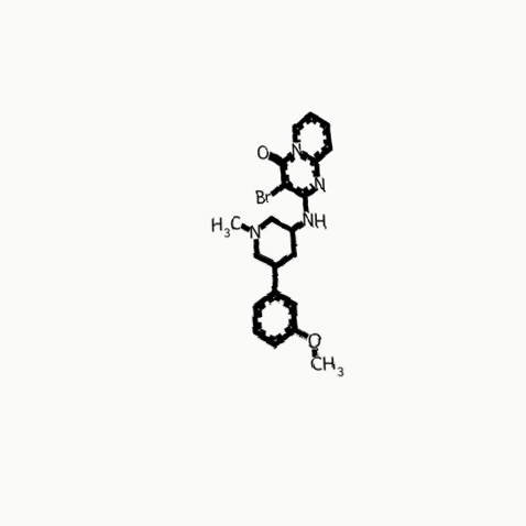 COc1cccc(C2CC(Nc3nc4ccccn4c(=O)c3Br)CN(C)C2)c1